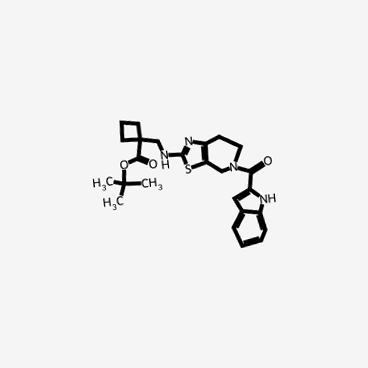 CC(C)(C)OC(=O)C1(CNc2nc3c(s2)CN(C(=O)c2cc4ccccc4[nH]2)CC3)CCC1